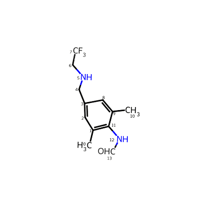 Cc1cc(CNCC(F)(F)F)cc(C)c1NC=O